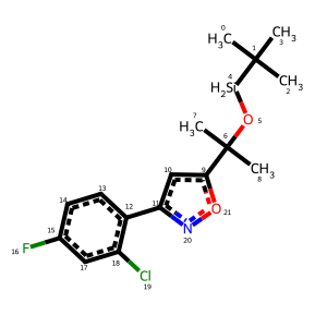 CC(C)(C)[SiH2]OC(C)(C)c1cc(-c2ccc(F)cc2Cl)no1